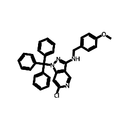 COc1ccc(CNc2nn(C(c3ccccc3)(c3ccccc3)c3ccccc3)c3cc(Cl)ncc23)cc1